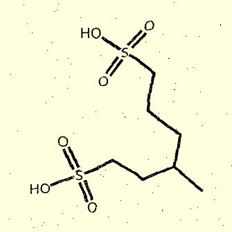 CC(CCCS(=O)(=O)O)CCS(=O)(=O)O